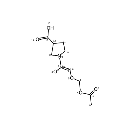 CC(=O)OCO/N=[N+](\[O-])N1CCC(C(=O)O)C1